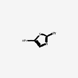 CCCc1cnc(C(C)C)s1